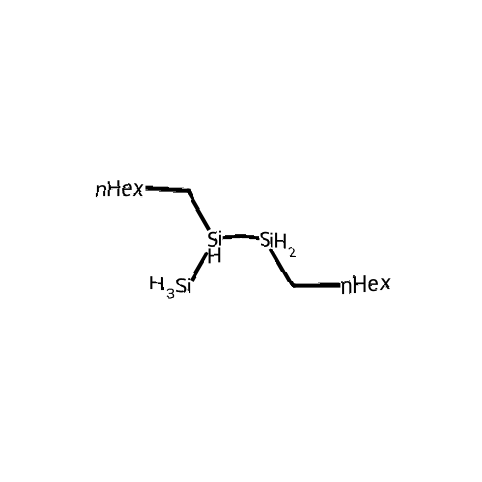 CCCCCCC[SiH2][SiH]([SiH3])CCCCCCC